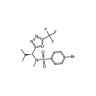 CC(C)[C@@H](c1nnc(C(F)(F)F)o1)N(C)S(=O)(=O)c1ccc(Br)cc1